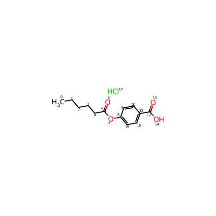 CCCCCC(=O)Oc1ccc(C(=O)O)cc1.Cl